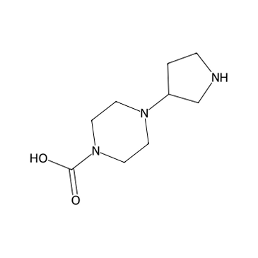 O=C(O)N1CCN(C2CCNC2)CC1